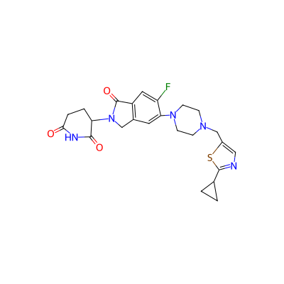 O=C1CCC(N2Cc3cc(N4CCN(Cc5cnc(C6CC6)s5)CC4)c(F)cc3C2=O)C(=O)N1